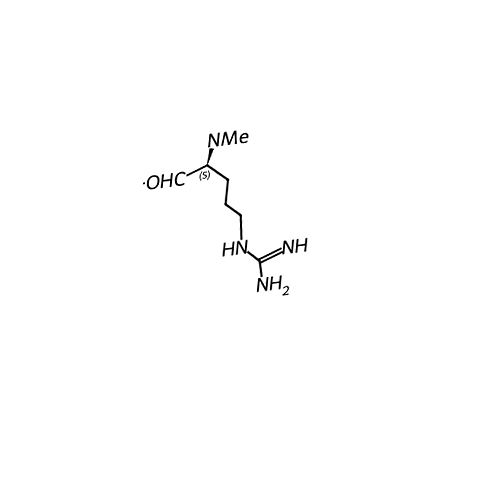 CN[C@H]([C]=O)CCCNC(=N)N